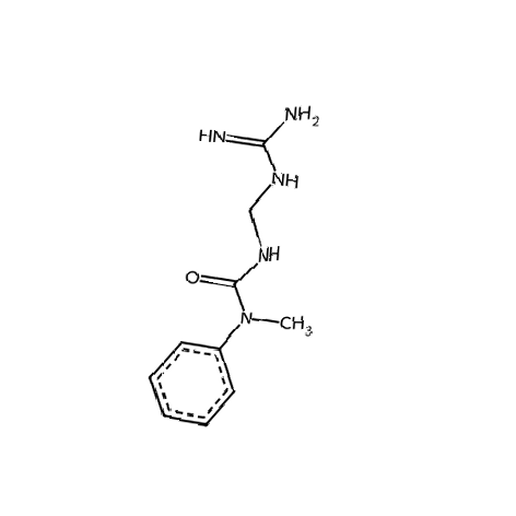 CN(C(=O)NCNC(=N)N)c1ccccc1